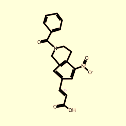 O=C(O)/C=C/c1cc2c(c([N+](=O)[O-])c1)CCN(C(=O)c1ccccc1)C2